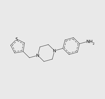 Nc1ccc(N2CCN(Cc3ccsc3)CC2)cc1